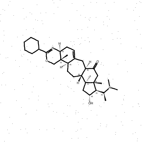 C[C@@H]([C@H]1[C@H](O)C[C@@]2(C)[C@@H]3CC[C@@H]4C(=CC[C@@H]5N=C(C6CCCCC6)OC[C@]54C)C[C@H]3C(=O)C[C@]12C)N(C)C